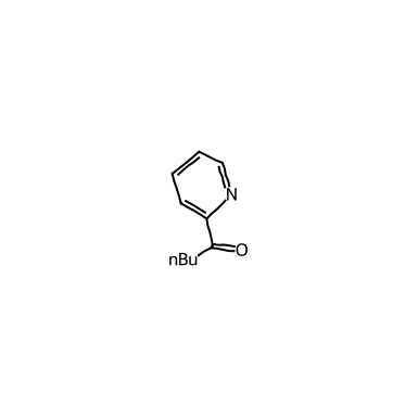 [CH2]CCCC(=O)c1ccccn1